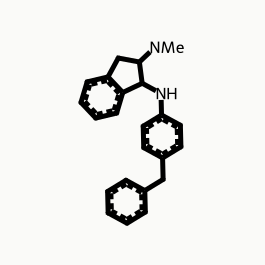 CNC1Cc2ccccc2C1Nc1ccc(Cc2ccccc2)cc1